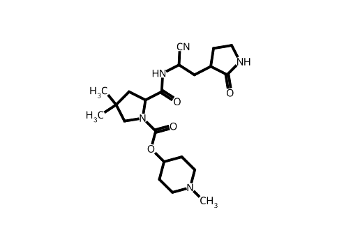 CN1CCC(OC(=O)N2CC(C)(C)CC2C(=O)NC(C#N)CC2CCNC2=O)CC1